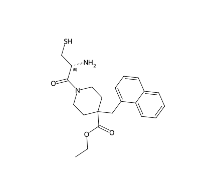 CCOC(=O)C1(Cc2cccc3ccccc23)CCN(C(=O)[C@@H](N)CS)CC1